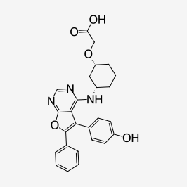 O=C(O)CO[C@@H]1CCC[C@H](Nc2ncnc3oc(-c4ccccc4)c(-c4ccc(O)cc4)c23)C1